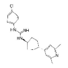 Cc1cc([C@H]2CC[C@H](NC(=N)Nc3ccc(Cl)cc3)CC2)cc(C)n1